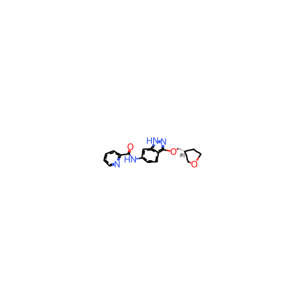 O=C(Nc1ccc2c(OC[C@@H]3CCOC3)n[nH]c2c1)c1ccccn1